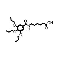 CCCOc1cc(C(=O)NCCCCCC(=O)O)cc(OCCC)c1OCCC